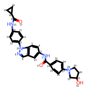 O=C(Nc1ccc2c(cnn2-c2ccc(NC(=O)C3CC3)cc2)c1)c1ccc(N2CCC(O)C2)cc1